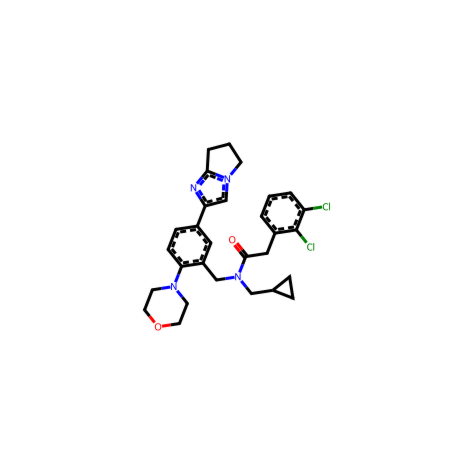 O=C(Cc1cccc(Cl)c1Cl)N(Cc1cc(-c2cn3c(n2)CCC3)ccc1N1CCOCC1)CC1CC1